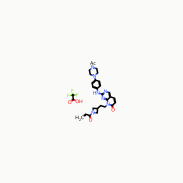 C=CC(=O)N1CC(CCn2c(=O)ccc3cnc(Nc4ccc(N5CCN(C(C)=O)CC5)cc4)nc32)C1.O=C(O)C(F)(F)F